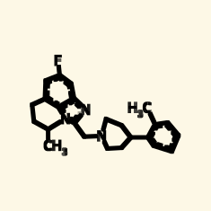 Cc1ccccc1C1CCN(Cc2nc3cc(F)cc4c3n2C(C)CC4)CC1